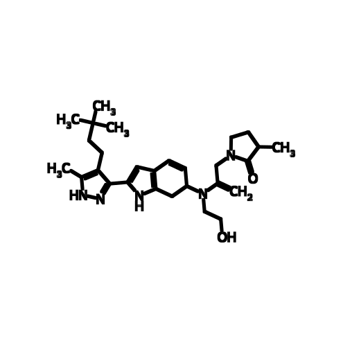 C=C(CN1CCC(C)C1=O)N(CCO)C1C=Cc2cc(-c3n[nH]c(C)c3CCC(C)(C)C)[nH]c2C1